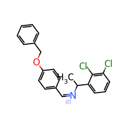 CC(/N=C\c1ccc(OCc2ccccc2)cc1)c1cccc(Cl)c1Cl